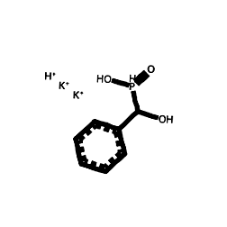 O=[PH](O)C(O)c1ccccc1.[H+].[K+].[K+]